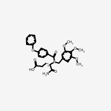 COc1cc(CN(C(=O)c2ccc(Oc3ccccc3)cc2)[C@@H](CCC(=O)O)C(N)=O)cc(OC)c1OC